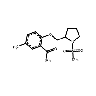 CS(=O)(=O)N1CCCC1COc1ccc(C(F)(F)F)cc1C(N)=O